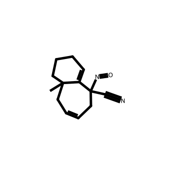 CC12CC=CCC(C#N)(N=O)C1=CCCC2